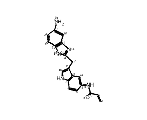 C=CC(=O)Nc1ccc2[nH]cc(Cc3nc4cc(N)ccc4[nH]3)c2c1